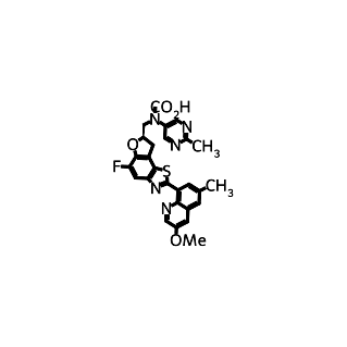 COc1cnc2c(-c3nc4cc(F)c5c(c4s3)C[C@H](CN(C(=O)O)c3cnc(C)nc3)O5)cc(C)cc2c1